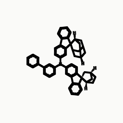 c1ccc(-c2cccc(N(c3ccc4c(c3)-c3ccccc3[C@@]43C[C@H]4CC[C@@H]3C4)c3ccc4c(c3)C3(c5ccccc5-4)C4CC5C[C@H](C4)C[C@H]3C5)c2)cc1